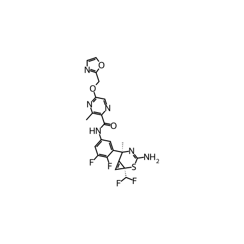 Cc1nc(OCc2ncco2)cnc1C(=O)Nc1cc(F)c(F)c([C@@]2(C)N=C(N)S[C@@]3(C(F)F)C=C23)c1